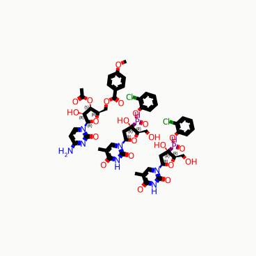 COc1ccc(C(=O)OC[C@H]2O[C@@H](n3ccc(N)nc3=O)[C@H](O)[C@@H]2OC(C)=O)cc1.Cc1cn([C@H]2C[C@@](O)([PH](=O)Oc3ccccc3Cl)[C@@H](CO)O2)c(=O)[nH]c1=O.Cc1cn([C@H]2C[C@@](O)([PH](=O)Oc3ccccc3Cl)[C@@H](CO)O2)c(=O)[nH]c1=O